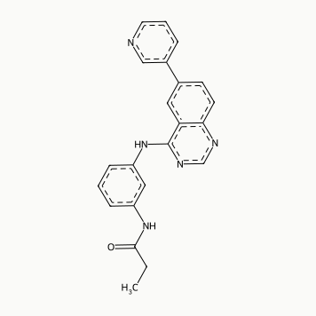 CCC(=O)Nc1cccc(Nc2ncnc3ccc(-c4cccnc4)cc23)c1